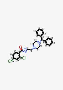 O=C(NCCN1CCN(C(c2ccccc2)c2ccccc2)CC1)c1ccc(Cl)cc1Cl